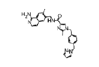 Cc1cc2c(N)nccc2cc1CNC(=O)c1cn(Cc2ccc(Cn3cccn3)cc2)c(C)n1